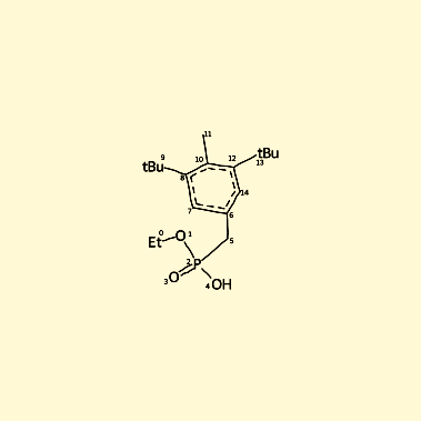 CCOP(=O)(O)Cc1cc(C(C)(C)C)c(C)c(C(C)(C)C)c1